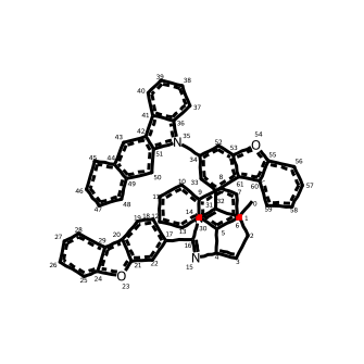 CC1C/C=C(c2cccc3ccccc23)/N=C(c2ccc3c(c2)oc2ccccc23)\N=C/1c1cc(-n2c3ccccc3c3cc4ccccc4cc32)cc2oc3ccccc3c12